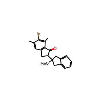 COC1(C2Cc3cc(C)c(Br)c(C)c3C2=O)Cc2ccccc2C1